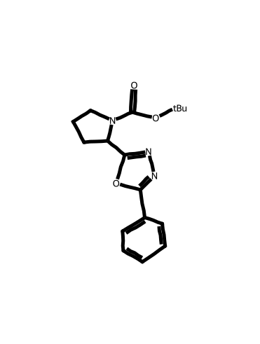 CC(C)(C)OC(=O)N1CCCC1c1nnc(-c2ccccc2)o1